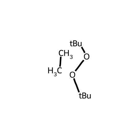 CC.CC(C)(C)OOC(C)(C)C